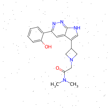 CN(C)C(=O)CN1CC(c2c[nH]c3nnc(-c4ccccc4O)cc23)C1